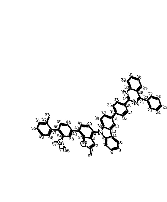 Cc1cc2c(-n3c4ccccc4c4cc(-c5ccc(-c6nc(-c7ccccc7)c7ccccc7n6)cc5)ccc43)ccc(-c3ccc(-c4ccccc4C)c([SiH](C)C)c3)c2o1